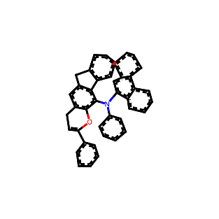 C1=C(c2ccccc2)Oc2c(cc3c(c2N(c2ccccc2)c2cc4ccccc4c4ccccc24)-c2ccccc2C3)C1